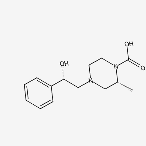 C[C@@H]1CN(C[C@@H](O)c2ccccc2)CCN1C(=O)O